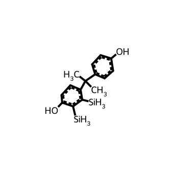 CC(C)(c1ccc(O)cc1)c1ccc(O)c([SiH3])c1[SiH3]